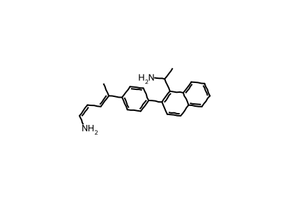 C/C(=C\C=C/N)c1ccc(-c2ccc3ccccc3c2C(C)N)cc1